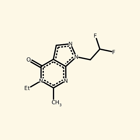 CCn1c(C)nc2c(cnn2CC(F)F)c1=O